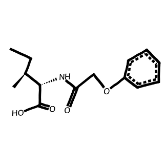 CC[C@H](C)[C@H](NC(=O)COc1ccccc1)C(=O)O